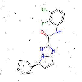 O=C(Nc1cccc(Cl)c1F)c1nc2n(n1)[C@H](c1ccccc1)C=C2